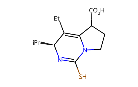 CCC1=C2C(C(=O)O)CCN2C(S)=N[C@H]1C(C)C